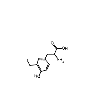 N[C@@H](Cc1ccc(O)c(CI)c1)C(=O)O